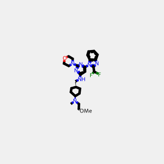 COCCN(C)[C@H]1CC[C@H](CNc2cc(-n3c(C(F)F)nc4ccccc43)nc(N3CCOCC3)n2)CC1